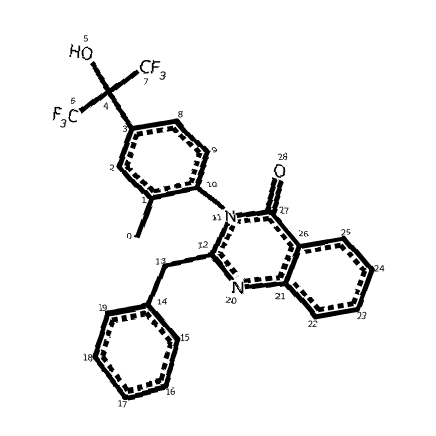 Cc1cc(C(O)(C(F)(F)F)C(F)(F)F)ccc1-n1c(Cc2ccccc2)nc2ccccc2c1=O